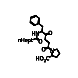 CCCCCCCC(=O)NC(Cc1ccccc1)C(=O)CCC(=O)N1CCC[C@H]1C(=O)O